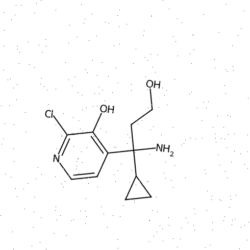 NC(CCO)(c1ccnc(Cl)c1O)C1CC1